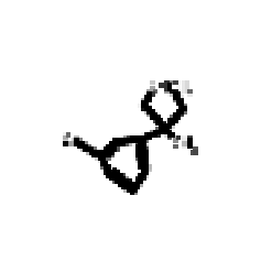 CCC(C)(CC)c1cccc(Cl)c1